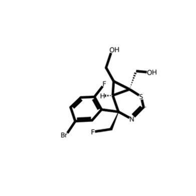 OCC1[C@@H]2[C@@](CF)(c3cc(Br)ccc3F)N=[C]S[C@]12CO